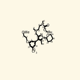 COCCOc1cc(-c2c(CN(C)CCN(C)C(=O)OC(C)(C)C)nn(C3CCCCO3)c2C)cc(C(F)(F)F)c1